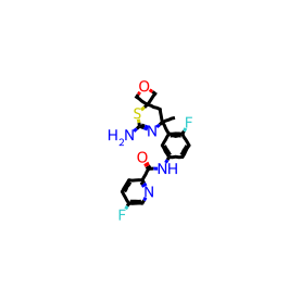 CC1(c2cc(NC(=O)c3ccc(F)cn3)ccc2F)CC2(COC2)SC(N)=N1